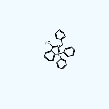 O=C(O)c1ccccc1P(=CCc1ccccc1)(c1ccccc1)c1ccccc1